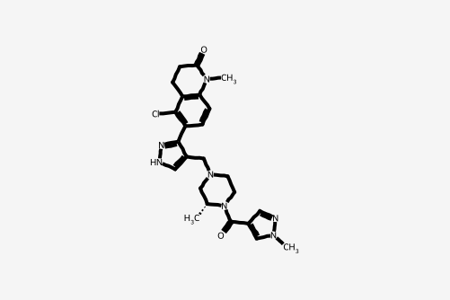 C[C@@H]1CN(Cc2c[nH]nc2-c2ccc3c(c2Cl)CCC(=O)N3C)CCN1C(=O)c1cnn(C)c1